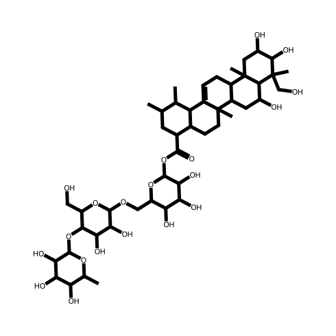 CC1CC(C(=O)OC2OC(COC3OC(CO)C(OC4OC(C)C(O)C(O)C4O)C(O)C3O)C(O)C(O)C2O)C2CCC3(C)C(=CCC4C3CC(O)C3C(C)(CO)C(O)C(O)CC43C)C2C1C